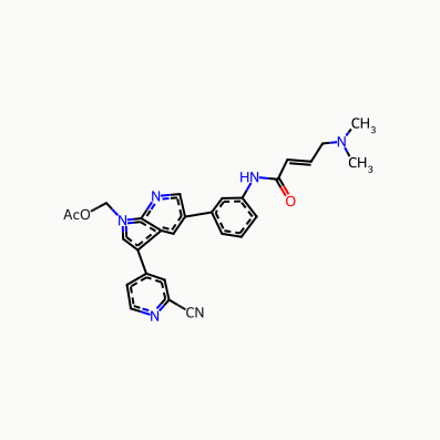 CC(=O)OCn1cc(-c2ccnc(C#N)c2)c2cc(-c3cccc(NC(=O)/C=C/CN(C)C)c3)cnc21